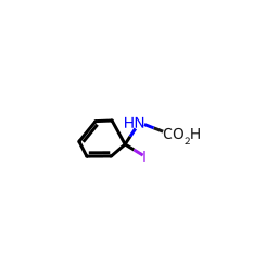 O=C(O)NC1(I)C=CC=CC1